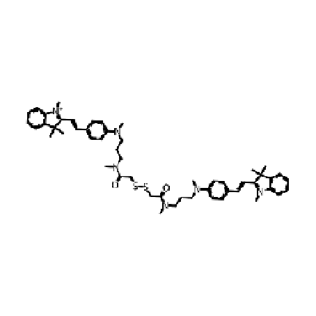 CN(CCCN(C)c1ccc(/C=C/C2=[N+](C)c3ccccc3C2(C)C)cc1)C(=O)CSSCC(=O)N(C)CCCN(C)c1ccc(/C=C/C2=[N+](C)c3ccccc3C2(C)C)cc1